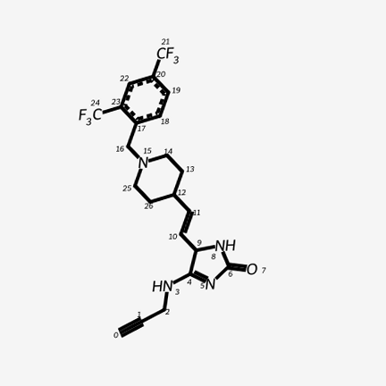 C#CCNC1=NC(=O)NC1C=CC1CCN(Cc2ccc(C(F)(F)F)cc2C(F)(F)F)CC1